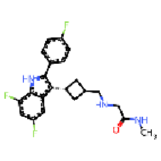 CNC(=O)CNC[C@H]1C[C@H](c2c(-c3ccc(F)cc3)[nH]c3c(F)cc(F)cc32)C1